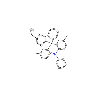 Cc1ccc2c(c1)C(c1ccccc1)(c1ccc(CC(C)(C)C)cc1)c1cc(C)ccc1N2c1ccccc1